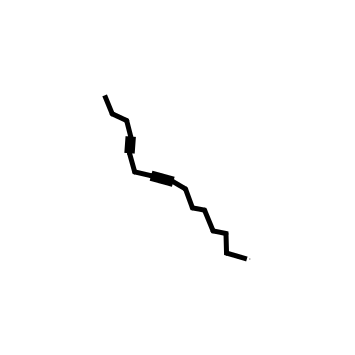 [CH2]CCCCCCC#CCC#CCCC